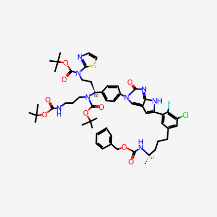 C[C@@H](CCCc1cc(Cl)c(F)c(-c2cc3cn(-c4ccc([C@H](CCN(C(=O)OC(C)(C)C)c5nccs5)N(CCCNC(=O)OC(C)(C)C)C(=O)OC(C)(C)C)cc4)c(=O)nc3[nH]2)c1)NC(=O)OCc1ccccc1